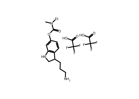 CCN(C)C(=O)Oc1ccc2c(c1)NCC2CCCN.O=C(O)C(F)(F)F.O=C(O)C(F)(F)F